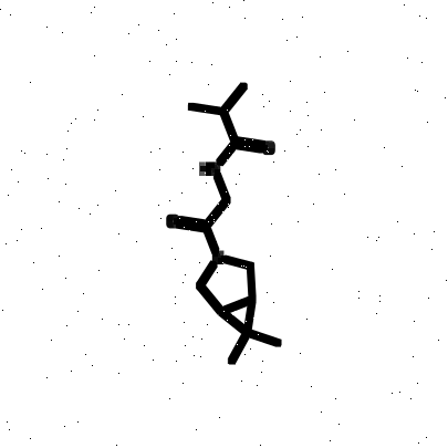 CC(C)C(=O)NCC(=O)N1CC2C(C1)C2(C)C